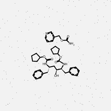 NC(=O)OCc1cccnc1.O=C(N[C@@H](Cc1ccccc1)C[C@H](O)[C@H](Cc1ccccc1)NC(=O)OC1CCCC1)OC1CCCC1